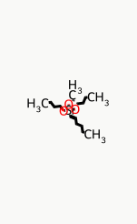 CCCCC=C[Si](OCC)(OCCCC)OCCCC